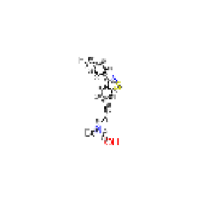 CCN(CCO)CCC#Cc1ccc2c(-c3ccc(C(F)(F)F)cc3)nsc2c1